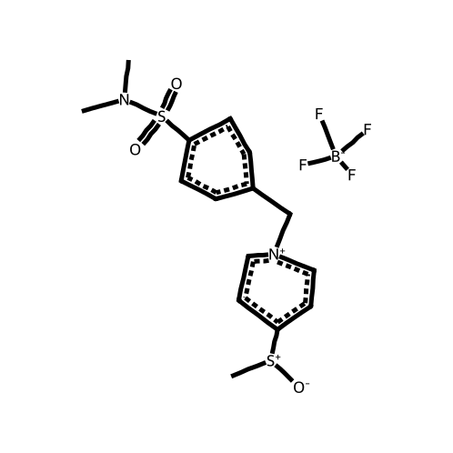 CN(C)S(=O)(=O)c1ccc(C[n+]2ccc([S+](C)[O-])cc2)cc1.F[B-](F)(F)F